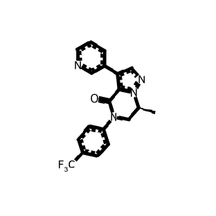 C[C@H]1CN(c2ccc(C(F)(F)F)cc2)C(=O)c2c(-c3cccnc3)cnn21